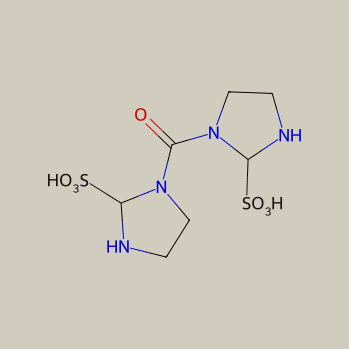 O=C(N1CCNC1S(=O)(=O)O)N1CCNC1S(=O)(=O)O